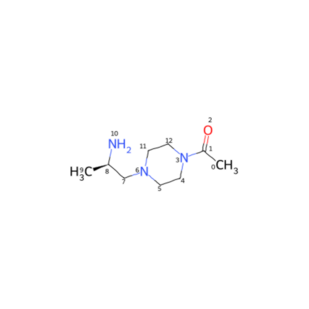 CC(=O)N1CCN(C[C@@H](C)N)CC1